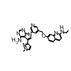 CCNc1ccc2ccc(OCc3cncc(-n4cc(-c5ccn(C)n5)c5c(N)ncnc54)c3)cc2n1